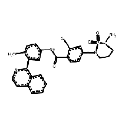 Cc1ccc(NC(=O)c2ccc(N3CCCN(N)S3(=O)=O)cc2Cl)cc1-c1nccc2ccccc12